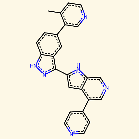 Cc1ccncc1-c1ccc2[nH]nc(-c3cc4c(-c5ccncc5)cncc4[nH]3)c2c1